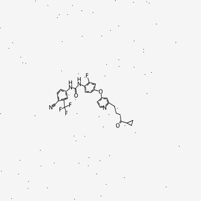 N#Cc1ccc(NC(=O)Nc2ccc(Oc3ccnc(CCCC(=O)C4CC4)c3)cc2F)cc1C(F)(F)F